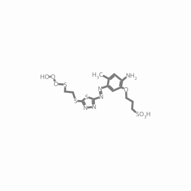 Cc1cc(N)c(OCCCS(=O)(=O)O)cc1N=Nc1nnc(SCCSOOO)s1